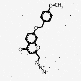 COc1ccc(COc2ccc3c(=O)cc(CN=[N+]=[N-])oc3c2)cc1